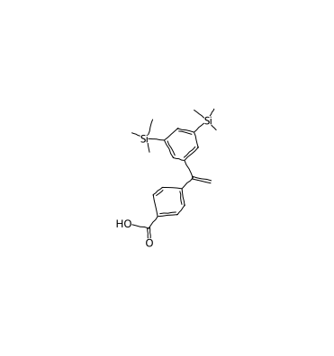 C=C(c1ccc(C(=O)O)cc1)c1cc([Si](C)(C)C)cc([Si](C)(C)C)c1